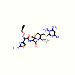 C#CCO/N=C(\C(=O)NC1C(=O)N2C(C(=O)O)=C(CSC3=NC(N)=CC(N)N3N)CS[C@@H]12)c1csc(N)n1